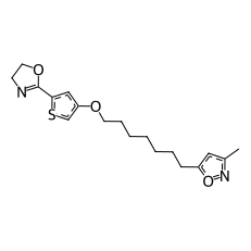 Cc1cc(CCCCCCCOc2csc(C3=NCCO3)c2)on1